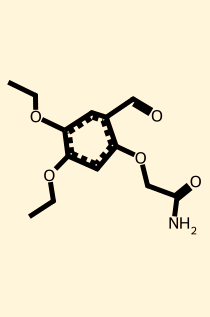 CCOc1cc(C=O)c(OCC(N)=O)cc1OCC